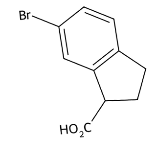 O=C(O)C1CCc2ccc(Br)cc21